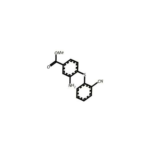 COC(=O)c1ccc(Sc2ccccc2C#N)c(N)c1